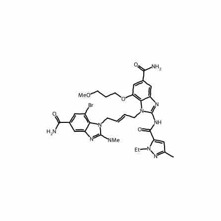 CCn1nc(C)cc1C(=O)Nc1nc2cc(C(N)=O)cc(OCCCOC)c2n1C/C=C/Cn1c(NC)nc2cc(C(N)=O)cc(Br)c21